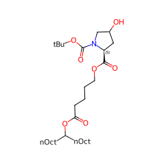 CCCCCCCCC(CCCCCCCC)OC(=O)CCCCOC(=O)[C@@H]1CC(O)CN1C(=O)OC(C)(C)C